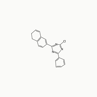 Clc1nc(-c2ccccc2)nc(-c2ccc3c(c2)C=CCC3)n1